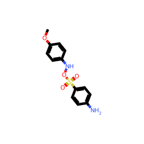 COc1ccc(NOS(=O)(=O)c2ccc(N)cc2)cc1